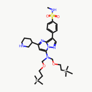 CNS(=O)(=O)c1ccc(-c2cnn3c(N(COCC[Si](C)(C)C)COCC[Si](C)(C)C)cc(C4CCCNC4)nc23)cc1